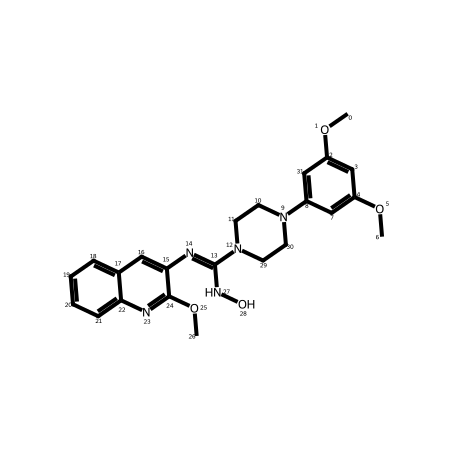 COc1cc(OC)cc(N2CCN(C(=Nc3cc4ccccc4nc3OC)NO)CC2)c1